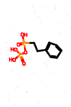 O=P(O)(O)OP(=O)(O)CCc1ccccc1